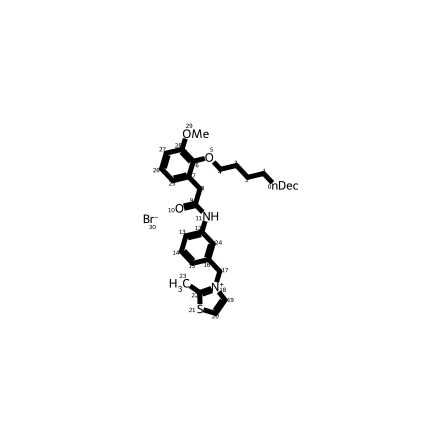 CCCCCCCCCCCCCCOc1c(CC(=O)Nc2cccc(C[n+]3ccsc3C)c2)cccc1OC.[Br-]